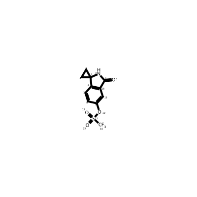 O=C1NC2(CC2)c2ccc(OS(=O)(=O)C(F)(F)F)cc21